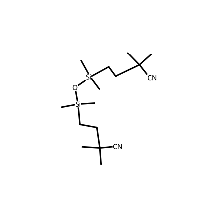 CC(C)(C#N)CC[Si](C)(C)O[Si](C)(C)CCC(C)(C)C#N